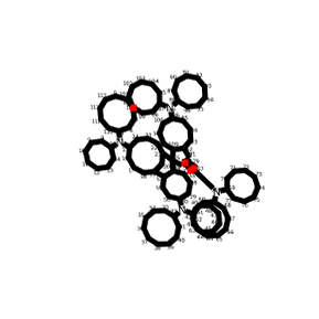 C1CCCCC(N(C2CCCCCCC2)C2CCCC3CC(CCC2)C2(C4CCCC(N(C5CCCCCCCCC5)C5CCCCCCC5)CCC34)C3CCCC(N(C4CCCCCCCCC4)C4CCCCCCCC4)CCCC3C3CCCC(N(C4CCCCCCCC4)C4CCCCCCCC4)CCCC32)CCCC1